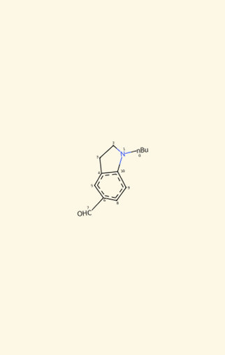 CCCCN1CCc2cc(C=O)ccc21